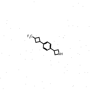 FC(F)(F)C1CC(c2ccc(C3CNC3)cc2)C1